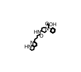 O=C(CCCc1ccc2c(n1)NCCC2)NC1CCN([C@@H](C(=O)O)c2ccccc2)CC1